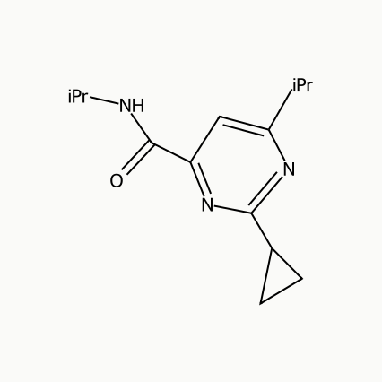 CC(C)NC(=O)c1cc(C(C)C)nc(C2CC2)n1